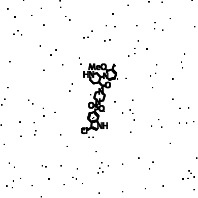 COC1C(C)=CC=CN1C1CNCCC1C(=O)N1CCN(S(=O)(=O)c2ccc3c(Cl)c[nH]c3c2)CC1